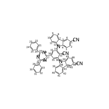 N#Cc1ccc2c(c1)c1ccccc1n2-c1cc(-c2nc(-c3ccccc3)nc(-c3ccccc3)n2)cc(-n2c3ccccc3c3cc(C#N)ccc32)c1C#N